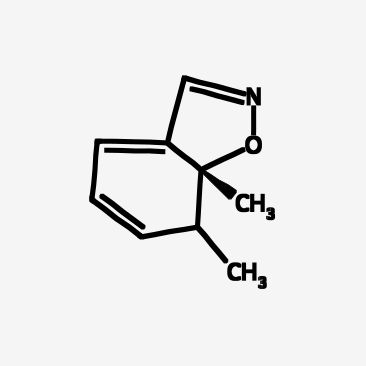 CC1C=CC=C2C=NO[C@@]21C